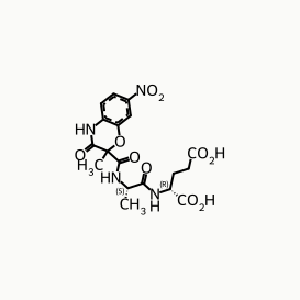 C[C@H](NC(=O)C1(C)Oc2cc([N+](=O)[O-])ccc2NC1=O)C(=O)N[C@H](CCC(=O)O)C(=O)O